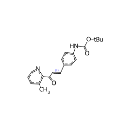 Cc1cccnc1C(=O)/C=C/c1ccc(NC(=O)OC(C)(C)C)cc1